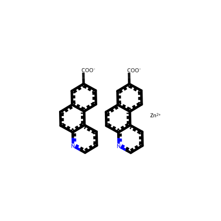 O=C([O-])c1ccc2c(ccc3ncccc32)c1.O=C([O-])c1ccc2c(ccc3ncccc32)c1.[Zn+2]